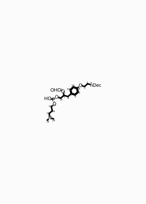 CCCCCCCCCCCCOc1ccc(CC(COP(O)OCCCN(C)C)OC=O)cc1